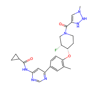 Cc1cc(-c2cc(NC(=O)C3CC3)ncn2)ccc1O[C@H]1CCN(C(=O)C2=CN(C)NN2)C[C@H]1F